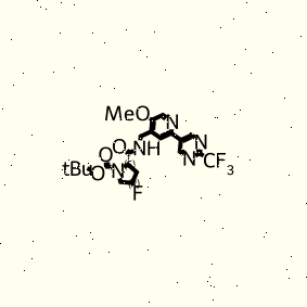 COc1cnc(-c2cnc(C(F)(F)F)nc2)cc1CNC(=O)[C@@H]1C[C@@H](F)CN1C(=O)OC(C)(C)C